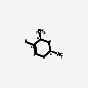 CC(=O)[C@H]1CC=C(C)[C@@H](P)C1